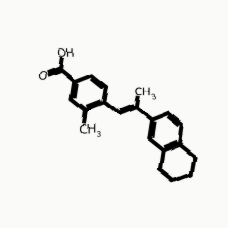 CC(=Cc1ccc(C(=O)O)cc1C)c1ccc2c(c1)CCCC2